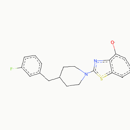 [O]c1cccc2sc(N3CCC(Cc4cccc(F)c4)CC3)nc12